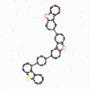 c1ccc2c(c1)oc1ccc(-c3ccc4oc5ccc(-c6ccc(-c7cccc8sc9ccccc9c78)cc6)cc5c4c3)cc12